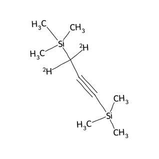 [2H]C([2H])(C#C[Si](C)(C)C)[Si](C)(C)C